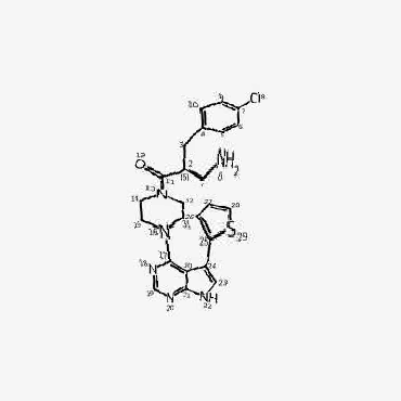 NC[C@H](Cc1ccc(Cl)cc1)C(=O)N1CCN(c2ncnc3[nH]cc(-c4cccs4)c23)CC1